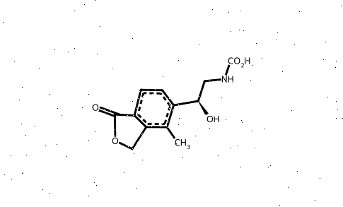 Cc1c([C@H](O)CNC(=O)O)ccc2c1COC2=O